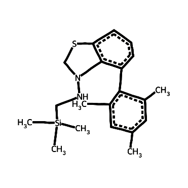 Cc1cc(C)c(-c2cccc3c2N(NC[Si](C)(C)C)CS3)c(C)c1